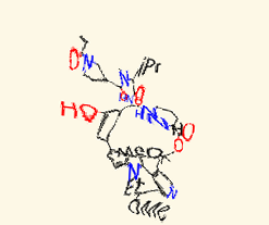 C=CC(=O)N1CC[C@H](C(=O)N(C)[C@H](C(=O)N[C@H]2Cc3cc(O)cc(c3)-c3ccc4c(c3)c(c(-c3c(COC)cncc3COC)n4CC)CC(C)(C)COC(=O)[C@@H]3CCCN(N3)C2=O)C(C)C)C1